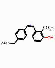 CNCc1ccc(/C=C\c2cccc(O)c2C(=O)O)cc1